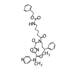 CC(CCN(C(=O)CCCCNC(=O)OCc1ccccc1)C(=O)c1nc(C(=O)N(C)c2ccncc2)co1)c1ccccc1